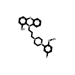 CCCOc1ccc(F)cc1N1CCN(CCCN2c3ccccc3Oc3cccc(O)c32)CC1